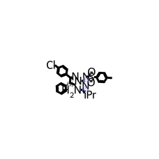 Cc1ccc(S(=O)(=O)/N=C(\N=C(/N)C(C)C)N2C[C@H](c3ccccc3)C(c3ccc(Cl)cc3)=N2)cc1